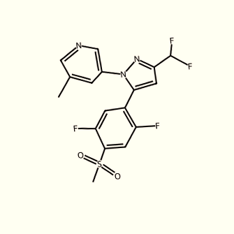 Cc1cncc(-n2nc(C(F)F)cc2-c2cc(F)c(S(C)(=O)=O)cc2F)c1